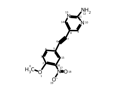 COc1ccc(C#Cc2cnc(N)nc2)cc1[N+](=O)[O-]